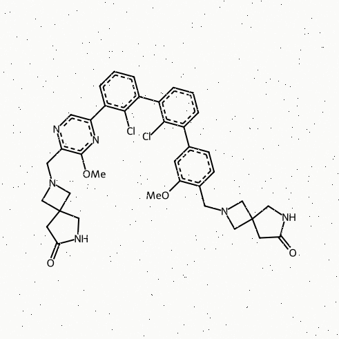 COc1cc(-c2cccc(-c3cccc(-c4cnc(CN5CC6(CNC(=O)C6)C5)c(OC)n4)c3Cl)c2Cl)ccc1CN1CC2(CNC(=O)C2)C1